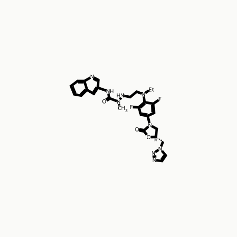 CCN(CCNN(C)C(=O)Nc1cnc2ccccc2c1)c1c(F)cc(N2C[C@H](Cn3ccnn3)OC2=O)cc1F